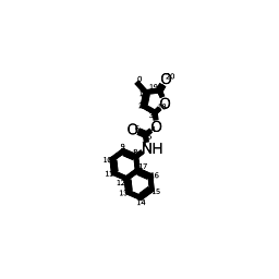 CC1=CC(OC(=O)Nc2cccc3ccccc23)OC1=O